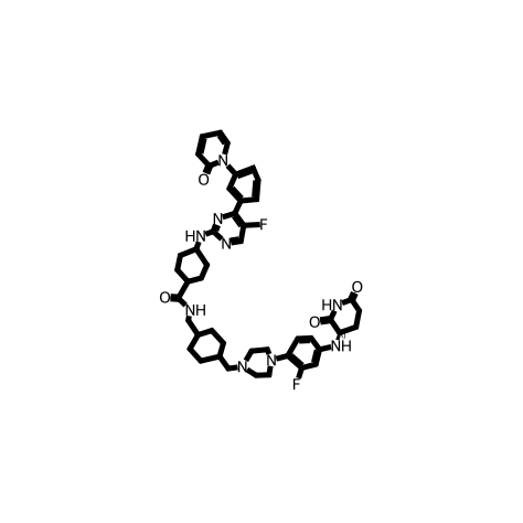 O=C1CC[C@@H](Nc2ccc(N3CCN(CC4CCC(CNC(=O)C5CCC(Nc6ncc(F)c(-c7cccc(-n8ccccc8=O)c7)n6)CC5)CC4)CC3)c(F)c2)C(=O)N1